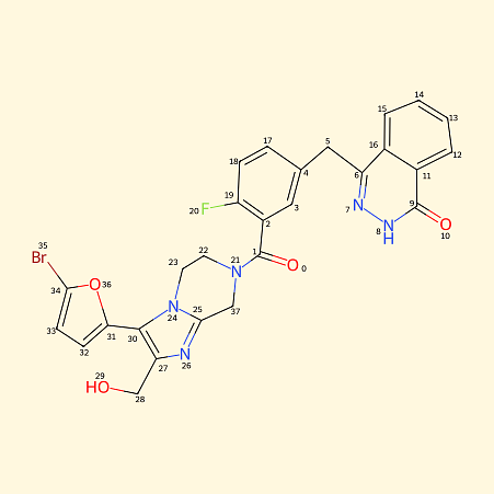 O=C(c1cc(Cc2n[nH]c(=O)c3ccccc23)ccc1F)N1CCn2c(nc(CO)c2-c2ccc(Br)o2)C1